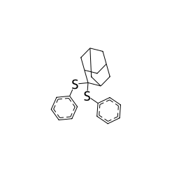 c1ccc(SC2(Sc3ccccc3)C3CC4CC(C3)CC2C4)cc1